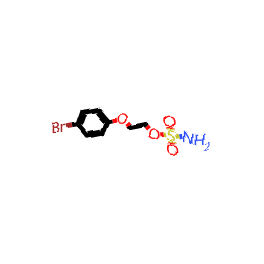 NS(=O)(=O)OCCOc1ccc(Br)cc1